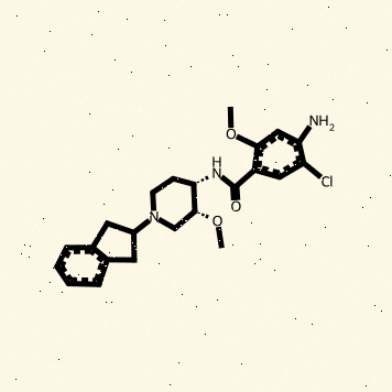 COc1cc(N)c(Cl)cc1C(=O)N[C@H]1CCN(C2Cc3ccccc3C2)C[C@H]1OC